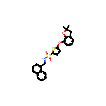 CC1(C)Cc2cccc(Oc3ccc(S(=O)(=O)NCc4cccc5ccccc45)s3)c2O1